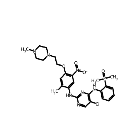 Cc1cc(OCCN2CCN(C)CC2)c([N+](=O)[O-])cc1Nc1ncc(Cl)c(Nc2ccccc2P(C)(C)=O)n1